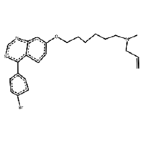 C=CCN(C)CCCCCCOc1ccc2c(-c3ccc(Br)cc3)ncnc2c1